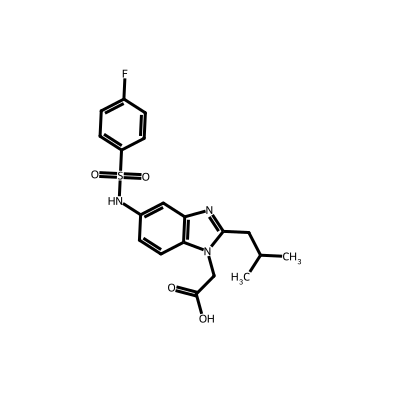 CC(C)Cc1nc2cc(NS(=O)(=O)c3ccc(F)cc3)ccc2n1CC(=O)O